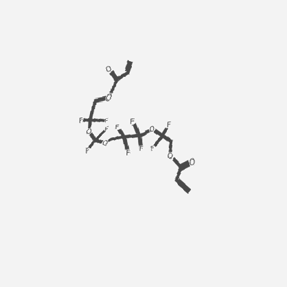 C=CC(=O)OCC(F)(F)OC(F)(F)OC(F)(F)C(F)(F)OC(F)(F)COC(=O)C=C